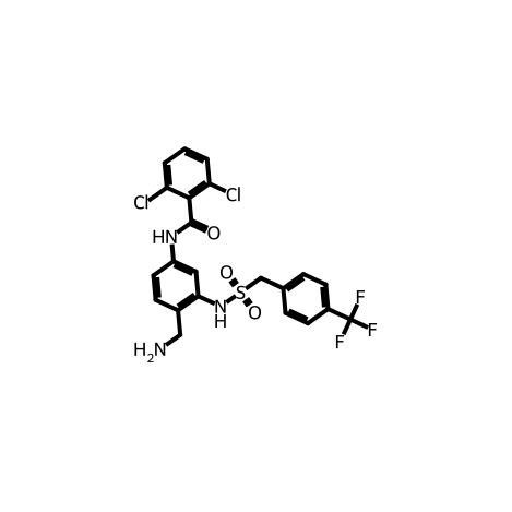 NCc1ccc(NC(=O)c2c(Cl)cccc2Cl)cc1NS(=O)(=O)Cc1ccc(C(F)(F)F)cc1